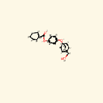 O=C(Oc1ccc(OC23CCC(CO)(CC2)CC3)cc1)C1CCCCC1